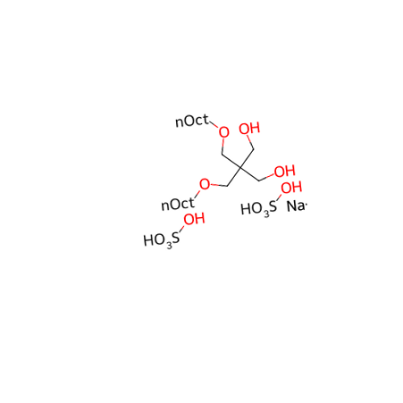 CCCCCCCCOCC(CO)(CO)COCCCCCCCC.O=S(=O)(O)O.O=S(=O)(O)O.[Na]